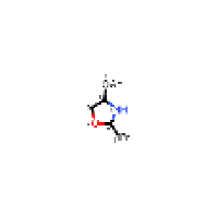 CC(=O)OC1COC(C(C)C)N1